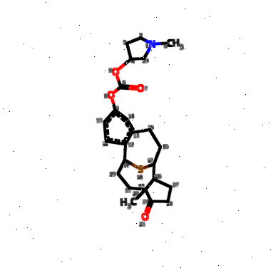 CN1CCC(OC(=O)Oc2ccc3c(c2)CCC2SC3CCC3(C)C(=O)CCC23)C1